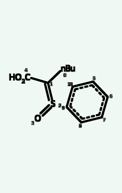 CCCCC(=S=O)C(=O)O.c1ccccc1